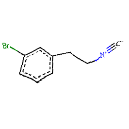 [C-]#[N+]CCc1cccc(Br)c1